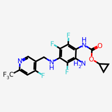 Nc1c(F)c(NCc2cnc(C(F)(F)F)cc2F)c(F)c(F)c1NC(=O)OC1CC1